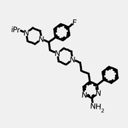 CC(C)N1CCN(C(CN2CCN(CCCc3cnc(N)nc3-c3ccccc3)CC2)c2ccc(F)cc2)CC1